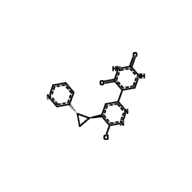 O=c1[nH]cc(-c2cc([C@H]3C[C@@H]3c3cccnc3)c(Cl)nn2)c(=O)[nH]1